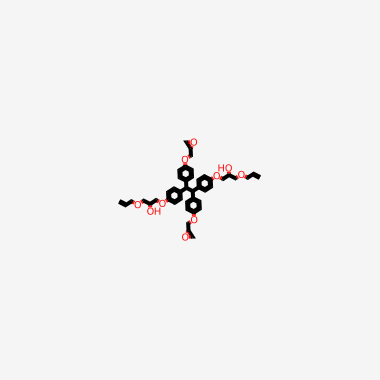 C=CCOCC(O)COc1ccc(C(c2ccc(OCC3CO3)cc2)C(c2ccc(OCC(O)COCC=C)cc2)c2ccc(OCC3CO3)cc2)cc1